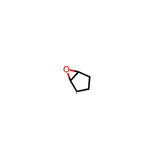 [CH]1CCC2OC12